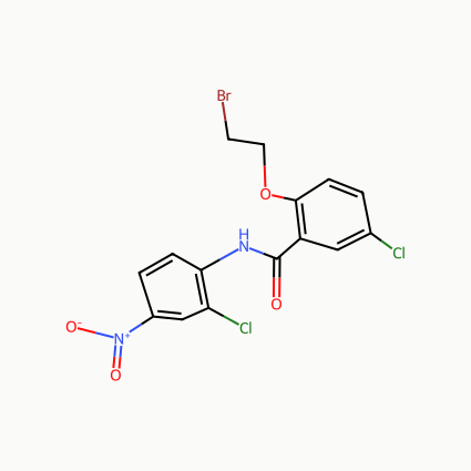 O=C(Nc1ccc([N+](=O)[O-])cc1Cl)c1cc(Cl)ccc1OCCBr